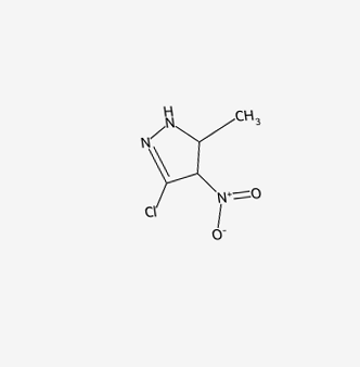 CC1NN=C(Cl)C1[N+](=O)[O-]